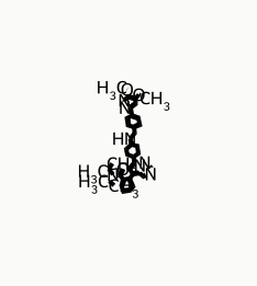 COc1cc(-c2ccc(CNC3CCC(c4cc(-c5ccccc5C(=O)N(C(C)C)C(C)C)c5cncnn45)CC3)cc2)nnc1OC